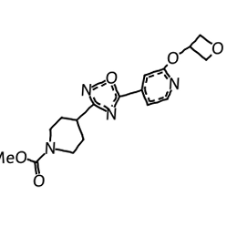 COC(=O)N1CCC(c2noc(-c3ccnc(OC4COC4)c3)n2)CC1